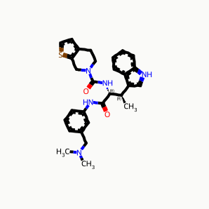 C[C@H](c1c[nH]c2ccccc12)[C@@H](NC(=O)N1CCc2ccsc2C1)C(=O)Nc1cccc(CN(C)C)c1